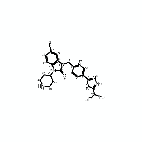 O=c1n(Cc2ccc(-c3nnc(C(F)F)o3)cn2)c2cc(F)ccc2n1C1CCNCC1